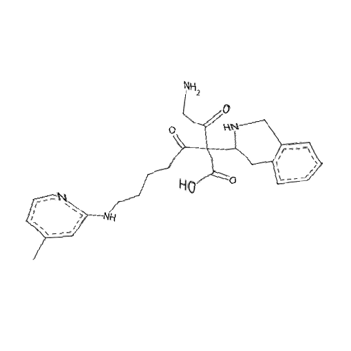 Cc1ccnc(NCCCCC(=O)C(C(=O)O)(C(=O)CN)C2Cc3ccccc3CN2)c1